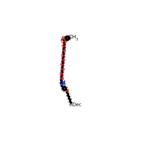 CCCCCCCCCCCCCCCCCCOc1ccc(Cn2cc(COCCOCCOCCOCCOCCOCCOCCOCCOS(=O)(=O)c3ccc(C)cc3)nn2)cc1